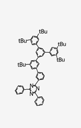 CC(C)(C)c1cc(-c2cc(-c3cc(C(C)(C)C)cc(C(C)(C)C)c3)cc(-c3cc(C(C)(C)C)cc(C(C)(C)C)c3)c2)cc(-c2cccc(-c3nc(-c4ccccc4)nc(-c4ccccc4)n3)c2)c1